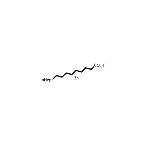 CCCCCCCCCCCCCCCC(=O)O.[Zn]